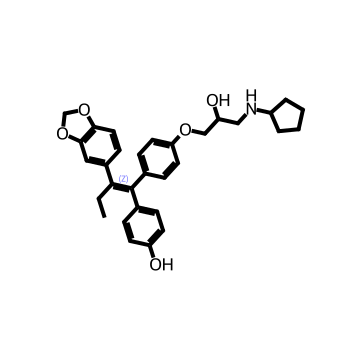 CC/C(=C(\c1ccc(O)cc1)c1ccc(OCC(O)CNC2CCCC2)cc1)c1ccc2c(c1)OCO2